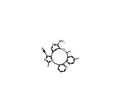 Cc1ccc2c(c1)C(C)Oc1cc(cnc1N)-c1c(C#N)nc(C)n1Cc1cccnc1-2